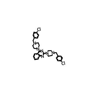 Clc1ccc(CN2CCN(c3nc(N4CCN(Cc5ccc(Cl)cc5)CC4)c4ccccc4n3)CC2)cc1